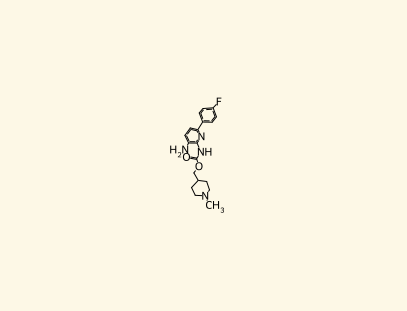 CN1CCC(COC(=O)Nc2nc(-c3ccc(F)cc3)ccc2N)CC1